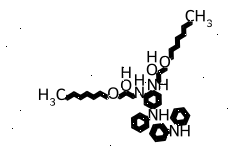 CCCCCCCCOCC(O)CNc1ccc(Nc2ccccc2)cc1NCC(O)COCCCCCCCC.c1ccc(Nc2ccccc2)cc1